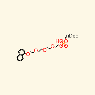 CCCCCCCCCCCOP(=O)(O)OCCOCCOCCOCCOc1cccc2ccccc12